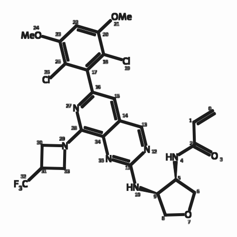 C=CC(=O)N[C@H]1COC[C@H]1Nc1ncc2cc(-c3c(Cl)c(OC)cc(OC)c3Cl)nc(N3CC(C(F)(F)F)C3)c2n1